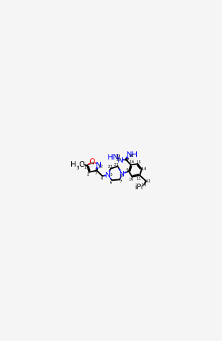 Cc1cc(CN2CCN(c3cc(CC(C)C)ccc3C(=N)N=N)CC2)no1